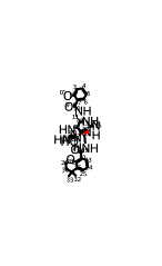 COc1ccccc1C(=O)NC[C@@H]1NC(=N)N2CC(NC(=O)c3cccc4c3OCCC4(C)C)[C@@H](O)C23NC(=N)NC13